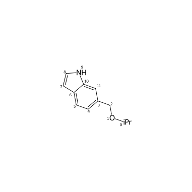 CC(C)OCc1ccc2cc[nH]c2c1